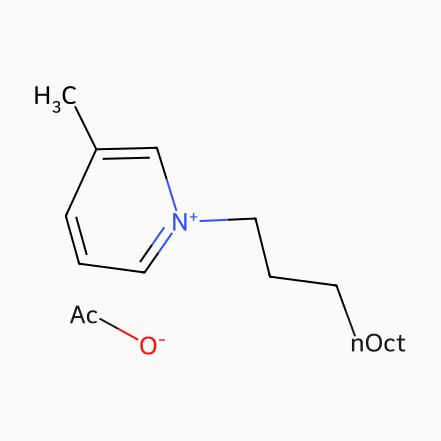 CC(=O)[O-].CCCCCCCCCCC[n+]1cccc(C)c1